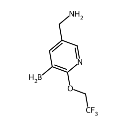 Bc1cc(CN)cnc1OCC(F)(F)F